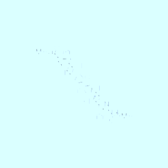 COC(=O)N[C@H](C(=O)N1CCC[C@H]1c1nc(Cl)c(-c2cc3c4c(c2)OCc2cc(-c5[nH]c([C@@H]6CCCN6C(=O)[C@@H](NC(=O)OC)C(C)C)nc5Cl)cc(c2-4)OC3)[nH]1)C(C)C